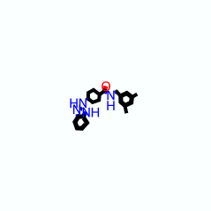 Cc1cc(C)cc(CNC(=O)C2CCC(Nc3nc4ccccc4[nH]3)CC2)c1